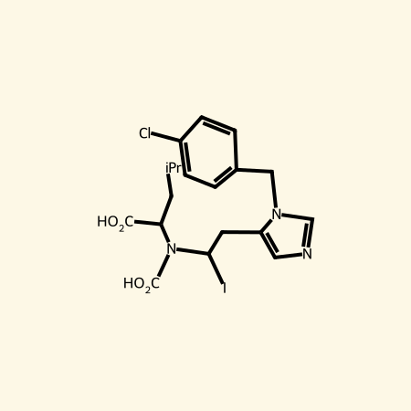 CC(C)CC(C(=O)O)N(C(=O)O)C(I)Cc1cncn1Cc1ccc(Cl)cc1